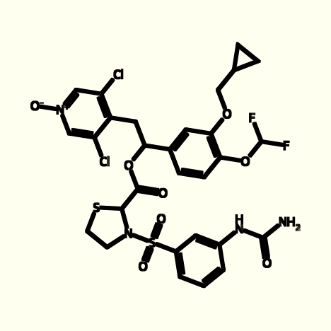 NC(=O)Nc1cccc(S(=O)(=O)N2CCSC2C(=O)OC(Cc2c(Cl)c[n+]([O-])cc2Cl)c2ccc(OC(F)F)c(OCC3CC3)c2)c1